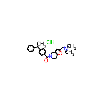 C=C(c1ccccc1)c1ccc(C(=O)N2CCc3oc(CN(C)C)cc3C2)cc1.Cl